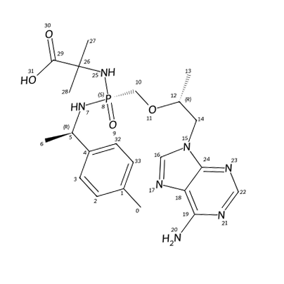 Cc1ccc([C@@H](C)N[P@@](=O)(CO[C@H](C)Cn2cnc3c(N)ncnc32)NC(C)(C)C(=O)O)cc1